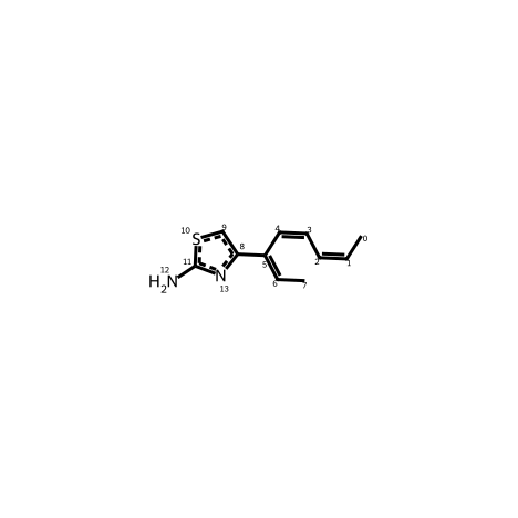 C\C=C/C=C\C(=C/C)c1csc(N)n1